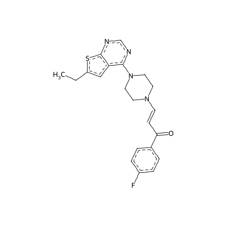 CCc1cc2c(N3CCN(C=CC(=O)c4ccc(F)cc4)CC3)ncnc2s1